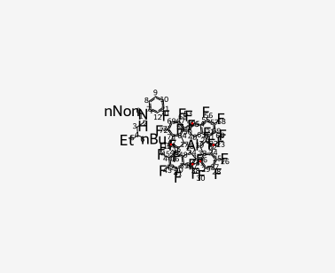 CCCCCCCCC[NH+](CCC(CC)CCCC)c1ccccc1.FC1=C(F)[CH]([Al-]([CH]2C(F)=C(F)c3c(F)c(F)c(F)c(F)c32)([CH]2C(F)=C(F)c3c(F)c(F)c(F)c(F)c32)[CH]2C(F)=C(F)c3c(F)c(F)c(F)c(F)c32)c2c(F)c(F)c(F)c(F)c21